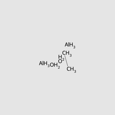 CC.O.O.[AlH3].[AlH3]